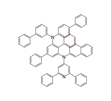 c1ccc(-c2ccc(N(c3cccc(-c4ccccc4)c3)c3cc(-c4ccccc4)cc(N(c4cc(-c5ccccc5)nc(-c5ccccc5)c4)c4ccc5ccccc5c4)c3-c3ccccc3)cc2)cc1